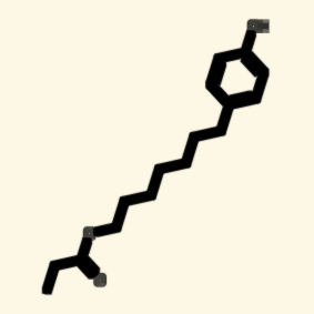 CCC(=O)OCCCCCCCc1ccc(O)cc1